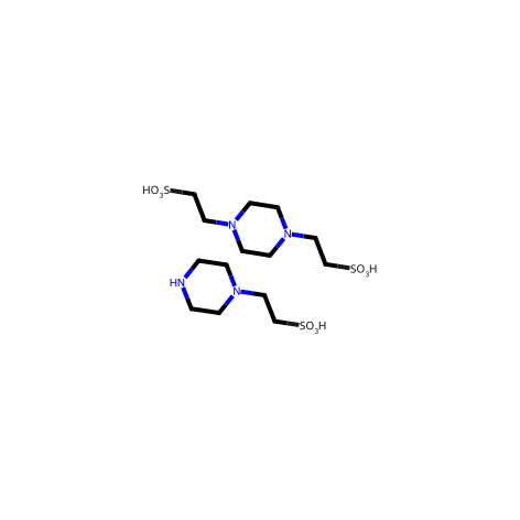 O=S(=O)(O)CCN1CCN(CCS(=O)(=O)O)CC1.O=S(=O)(O)CCN1CCNCC1